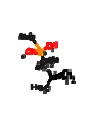 C=C(CCC)C(=O)O.COP(=O)(O)OC